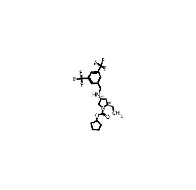 CC[C@@H]1C[C@H](NCc2cc(C(F)(F)F)cc(C(F)(F)F)c2)CN1C(=O)OC1CCCC1